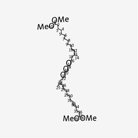 COC(CCCCCCCCCC=CC(C)CCOCOCOCCC(C)C=CCCCCCCCCCC(OC)OC)OC